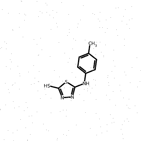 Cc1ccc(Nc2nnc(S)s2)cc1